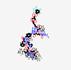 CC[C@H](C)[C@@H]([C@@H](CC(=O)N1CCC[C@H]1[C@H](OC)[C@@H](C)C(=O)N[C@@H](Cc1ccccc1)C(=O)NCc1ccc(NC(=O)[C@H](CCCNC(N)=O)NC(=O)[C@@H](NC(=O)CCCC2OCC(C(=O)Oc3c(F)c(F)c(F)c(F)c3F)CO2)C(C)C)cc1)OC)N(C)C(=O)[C@@H](NC(=O)[C@H](C(C)C)N(C)C)C(C)C